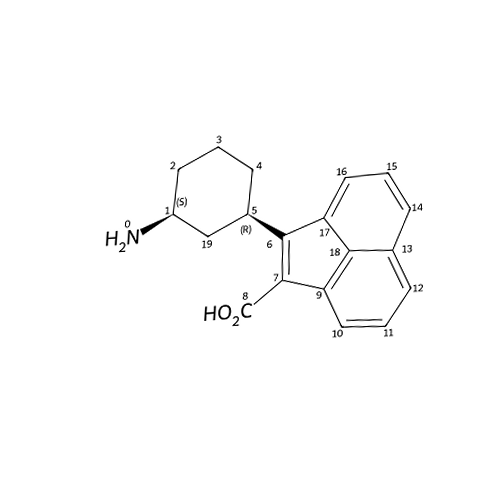 N[C@H]1CCC[C@@H](C2=C(C(=O)O)c3cccc4cccc2c34)C1